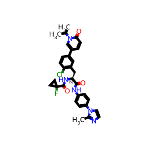 Cc1nccn1-c1ccc(NC(=O)[C@H](Cc2cc(-c3ccc(=O)n(C(C)C)c3)ccc2Cl)NC(=O)C2(F)CC2)cc1